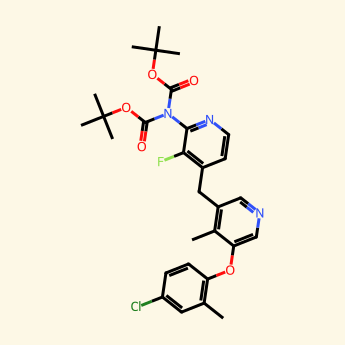 Cc1cc(Cl)ccc1Oc1cncc(Cc2ccnc(N(C(=O)OC(C)(C)C)C(=O)OC(C)(C)C)c2F)c1C